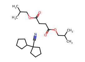 CC(C)COC(=O)CCC(=O)OCC(C)C.N#CC1(C2CCCC2)CCCC1